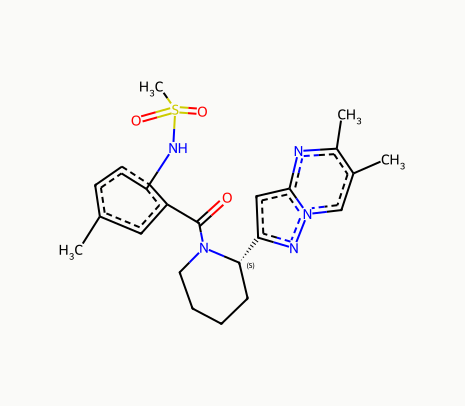 Cc1ccc(NS(C)(=O)=O)c(C(=O)N2CCCC[C@H]2c2cc3nc(C)c(C)cn3n2)c1